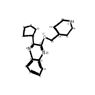 c1ccc2nc(C3CCCC3)c(OCC3CCNCC3)nc2c1